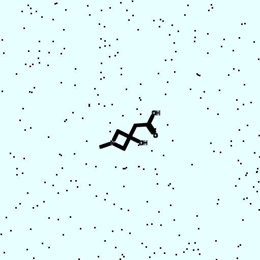 CN1CC(O)(CC(=O)O)C1